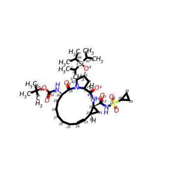 CC(C)[Si](O[C@@H]1C[C@H]2C(=O)N[C@]3(C(=O)NS(=O)(=O)C4CC4)C[C@H]3/C=C\CCCCC[C@H](NC(=O)OC(C)(C)C)C(=O)N2C1)(C(C)C)C(C)C